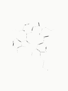 COc1cc(C(=O)NC(CCO)C(=O)c2ccc(OC)c(-c3csc4c(F)cccc34)n2)ccc1OCCO